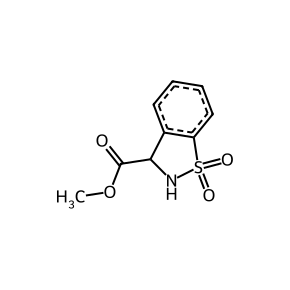 COC(=O)C1NS(=O)(=O)c2ccccc21